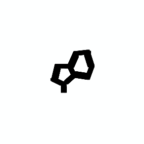 [c]1ccc2[nH][c]cc2c1